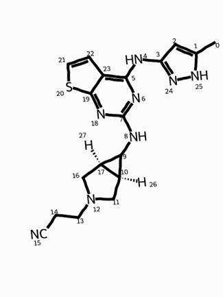 Cc1cc(Nc2nc(NC3[C@H]4CN(CCC#N)C[C@@H]34)nc3sccc23)n[nH]1